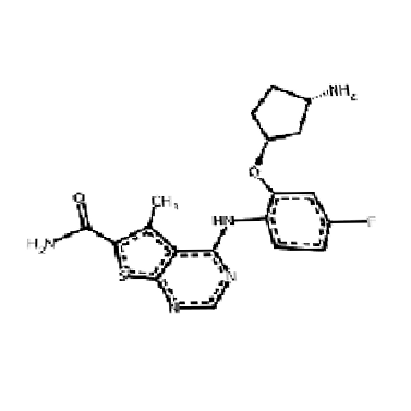 Cc1c(C(N)=O)sc2ncnc(Nc3ccc(F)cc3O[C@H]3CC[C@H](N)C3)c12